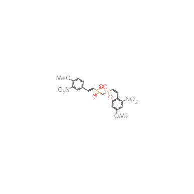 COc1ccc(/C=C\S(=O)(=O)CS(=O)(=O)/C=C/c2ccc(OC)c([N+](=O)[O-])c2)c([N+](=O)[O-])c1